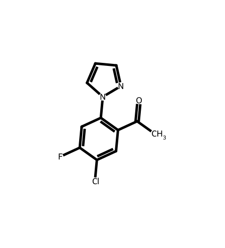 CC(=O)c1cc(Cl)c(F)cc1-n1cccn1